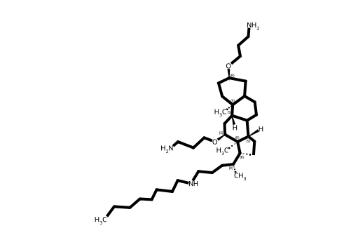 CCCCCCCCNCCC[C@@H](C)[C@H]1CC[C@H]2C3CCC4C[C@H](OCCCN)CC[C@]4(C)[C@H]3C[C@H](OCCCN)[C@]12C